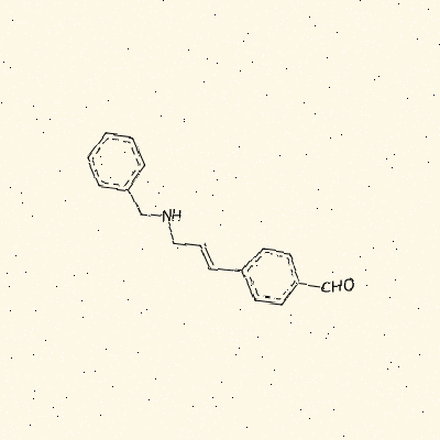 O=Cc1ccc(/C=C/CNCc2ccccc2)cc1